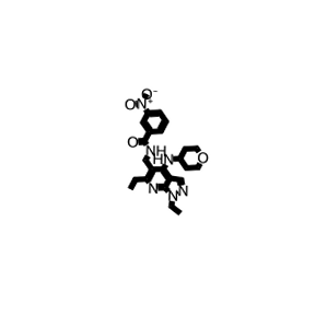 CCc1nc2c(cnn2CC)c(NC2CCOCC2)c1CNC(=O)c1cccc([N+](=O)[O-])c1